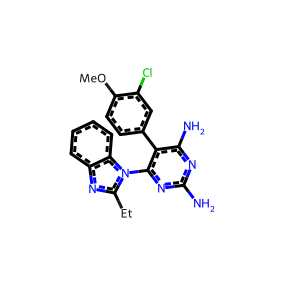 CCc1nc2ccccc2n1-c1nc(N)nc(N)c1-c1ccc(OC)c(Cl)c1